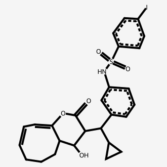 O=C1OC2=CC=CCCCC2C(O)C1C(c1cccc(NS(=O)(=O)c2ccc(I)cc2)c1)C1CC1